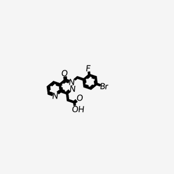 O=C(O)Cc1nn(Cc2ccc(Br)cc2F)c(=O)c2cccnc12